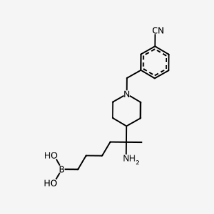 CC(N)(CCCCB(O)O)C1CCN(Cc2cccc(C#N)c2)CC1